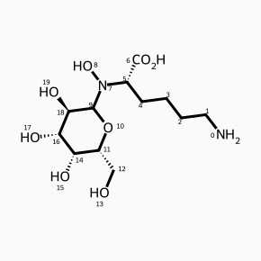 NCCCC[C@@H](C(=O)O)N(O)C1O[C@H](CO)[C@H](O)[C@H](O)[C@H]1O